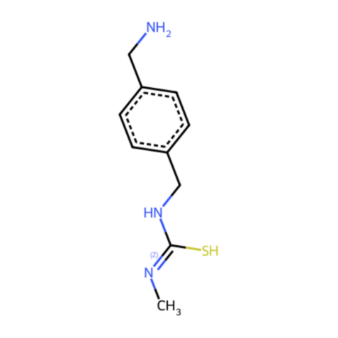 C/N=C(\S)NCc1ccc(CN)cc1